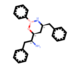 N[C@@H](Cc1ccccc1)[C@@H]1C[C@H](Cc2ccccc2)NB(c2ccccc2)O1